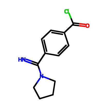 N=C(c1ccc(C(=O)Cl)cc1)N1CCCC1